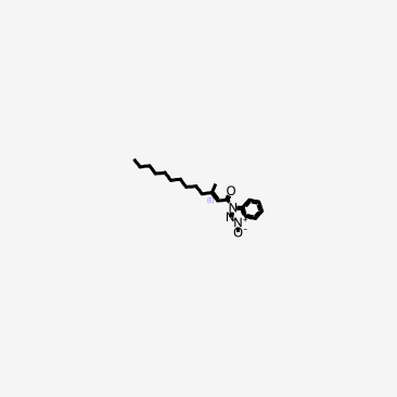 CCCCCCCCCC/C(C)=C/C(=O)n1n[n+]([O-])c2ccccc21